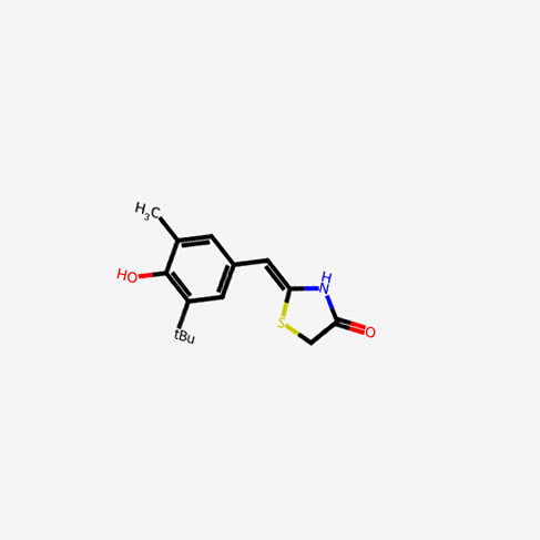 Cc1cc(C=C2NC(=O)CS2)cc(C(C)(C)C)c1O